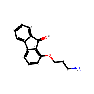 NCCCOc1cccc2c1C(=O)c1ccccc1-2